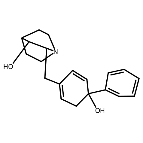 OC1C2CCN(CC2)C1CC1=CCC(O)(c2ccccc2)C=C1